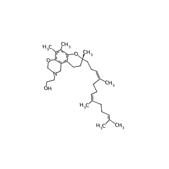 CC(C)=CCCC(C)=CCCC(C)=CCC[C@]1(C)CCc2c3c(c(C)c(C)c2O1)OCN(CCO)C3